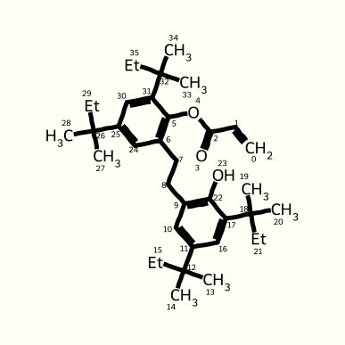 C=CC(=O)Oc1c(CCc2cc(C(C)(C)CC)cc(C(C)(C)CC)c2O)cc(C(C)(C)CC)cc1C(C)(C)CC